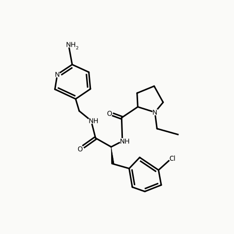 CCN1CCCC1C(=O)N[C@@H](Cc1cccc(Cl)c1)C(=O)NCc1ccc(N)nc1